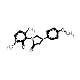 COc1ccc([C@H]2CC(=O)N(c3c(C)ccn(C)c3=O)C2)cc1